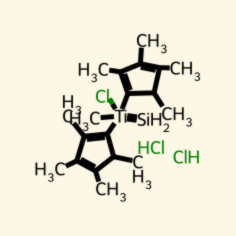 CC1=C(C)C(C)[C]([Ti]([CH3])(=[SiH2])([Cl])[C]2=C(C)C(C)=C(C)C2C)=C1C.Cl.Cl